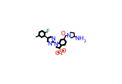 Cc1ccc(F)c(-c2cnc(-n3cc(S(C)(=O)=O)c4ccc(C(=O)N5CCC(N)C5)cc43)nc2)c1